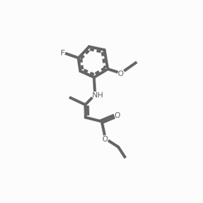 CCOC(=O)/C=C(/C)Nc1cc(F)ccc1OC